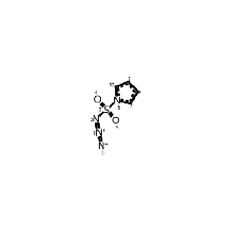 [N-]=[N+]=NS(=O)(=O)n1cccc1